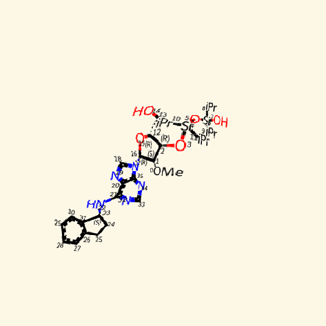 CO[C@H]1[C@H](O[Si](O[Si](O)(C(C)C)C(C)C)(C(C)C)C(C)C)[C@@H](CO)O[C@H]1n1cnc2c(N[C@H]3CCc4ccccc43)ncnc21